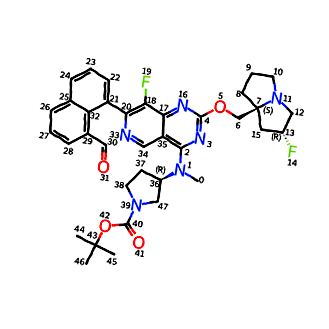 CN(c1nc(OC[C@@]23CCCN2C[C@H](F)C3)nc2c(F)c(-c3cccc4cccc(C=O)c34)ncc12)[C@@H]1CCN(C(=O)OC(C)(C)C)C1